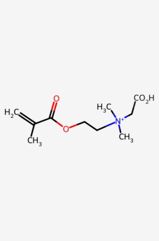 C=C(C)C(=O)OCC[N+](C)(C)CC(=O)O